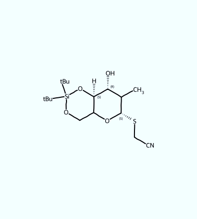 CC1[C@@H](O)[C@@H]2O[Si](C(C)(C)C)(C(C)(C)C)OCC2O[C@H]1SCC#N